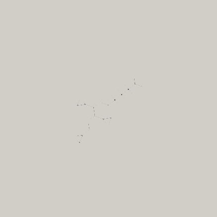 FC(F)C(F)(F)C(F)(F)C(F)(F)COC(C1CO1)C(OCC1CO1)C1CO1